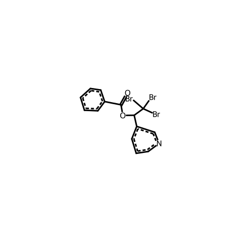 O=C(OC(c1cccnc1)C(Br)(Br)Br)c1ccccc1